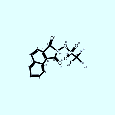 O=C1c2ccc3ccccc3c2C(=O)N1OS(=O)(=O)C(F)(F)F